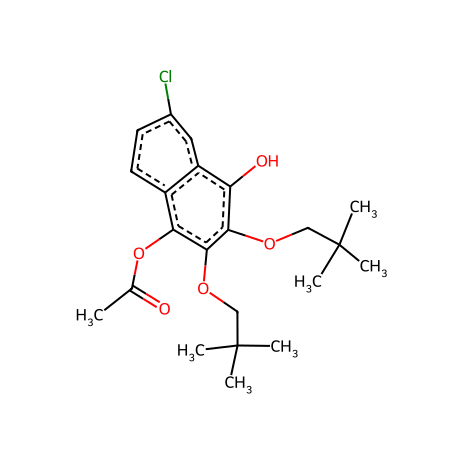 CC(=O)Oc1c(OCC(C)(C)C)c(OCC(C)(C)C)c(O)c2cc(Cl)ccc12